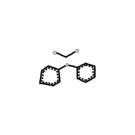 ClCCl.c1ccc(Sc2ccccc2)cc1